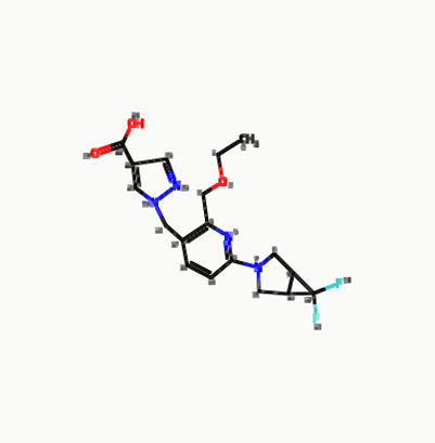 CCOCc1nc(N2CC3C(C2)C3(F)F)ccc1Cn1cc(C(=O)O)cn1